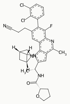 Cc1nc2c(F)c(-c3cccc(Cl)c3Cl)c(CCC#N)cc2c2c1cc([C@@H](C)NC(=O)[C@@H]1CCCO1)n2[C@H]1[C@H]2CN[C@@H]1C2